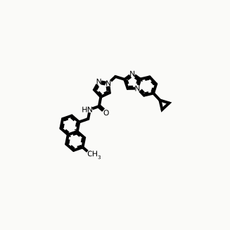 Cc1ccc2cccc(CNC(=O)c3cnn(Cc4cn5cc(C6CC6)ccc5n4)c3)c2c1